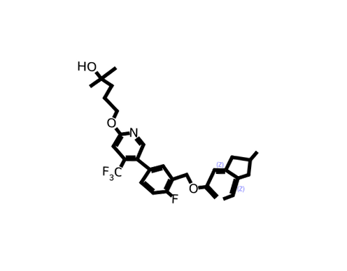 C=C(/C=C1/CC(C)C/C1=C/C)OCc1cc(-c2cnc(OCCCC(C)(C)O)cc2C(F)(F)F)ccc1F